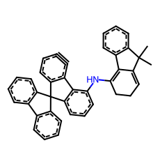 CC1(C)C2=CCCC(Nc3cccc4c3-c3c#cccc3C43c4ccccc4-c4ccccc43)=C2c2ccccc21